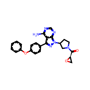 Nc1ncnc2c1c(-c1ccc(Oc3ccccc3)cc1)nn2C1CCN(C(=O)[C@H]2CO2)C1